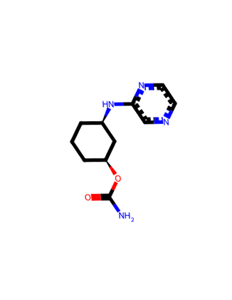 NC(=O)O[C@H]1CCC[C@@H](Nc2cnccn2)C1